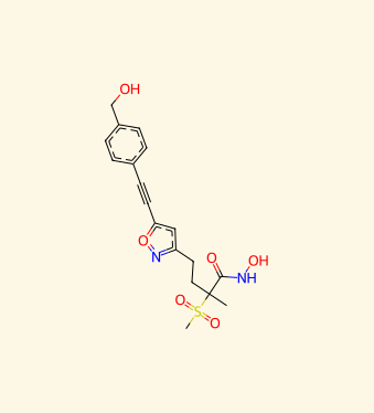 CC(CCc1cc(C#Cc2ccc(CO)cc2)on1)(C(=O)NO)S(C)(=O)=O